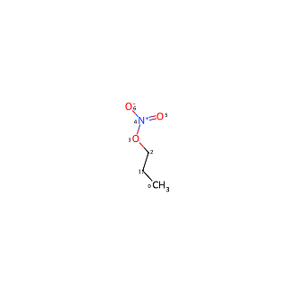 C[CH]CO[N+](=O)[O-]